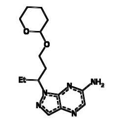 CCC(CCOC1CCCCO1)n1ncc2ncc(N)nc21